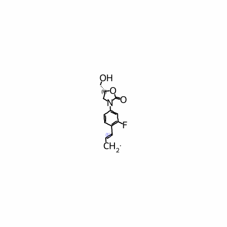 [CH2]/C=C/c1ccc(N2C[C@H](CO)OC2=O)cc1F